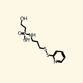 CCCP(=O)(CCO)NCCCSSc1ccccn1